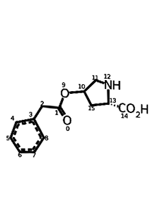 O=C(Cc1ccccc1)OC1CN[C@H](C(=O)O)C1